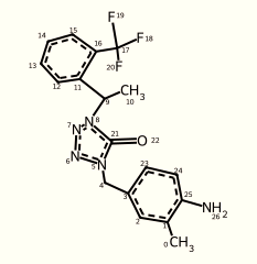 Cc1cc(Cn2nnn(C(C)c3ccccc3C(F)(F)F)c2=O)ccc1N